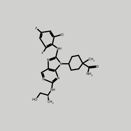 C[C@@H](CO)Nc1ncc2nc(Nc3c(F)cc(F)cc3Cl)n(C3CCC(C)(C(N)=O)CC3)c2n1